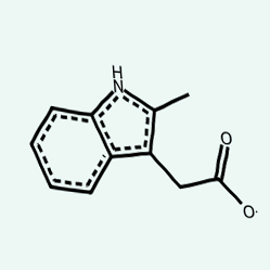 Cc1[nH]c2ccccc2c1CC([O])=O